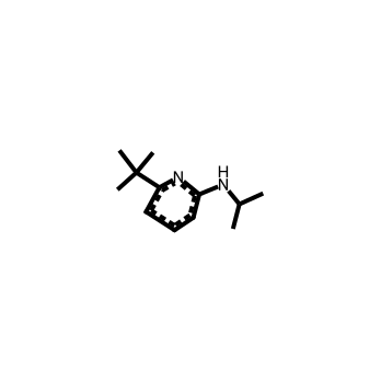 CC(C)Nc1cccc(C(C)(C)C)n1